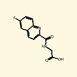 O=C(O)CNC(=O)c1ccc2cc(F)ccc2n1